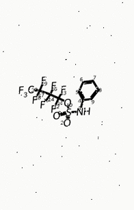 O=S(=O)(Nc1ccccc1)OC(F)(F)C(F)(F)C(F)(F)C(F)(F)F